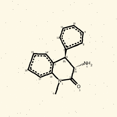 CN1C(=O)[C@@H](N)[C@H](c2ccccc2)c2ccccc21